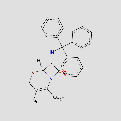 CC(C)C1=C(C(=O)O)N2C(=O)C(NC(c3ccccc3)(c3ccccc3)c3ccccc3)[C@@H]2SC1